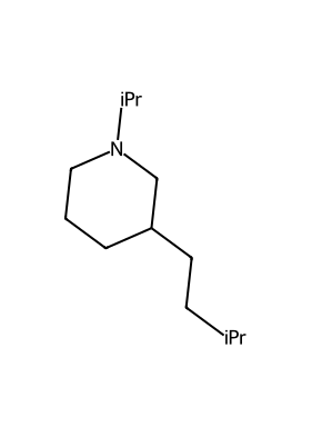 CC(C)CCC1CCCN(C(C)C)C1